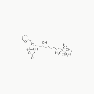 CC(C)(CCCCCCC(O)CCC1[C@H]2CC(=O)O[C@H]2C[C@H]1OC1CCCCO1)[Si](C)(C)O